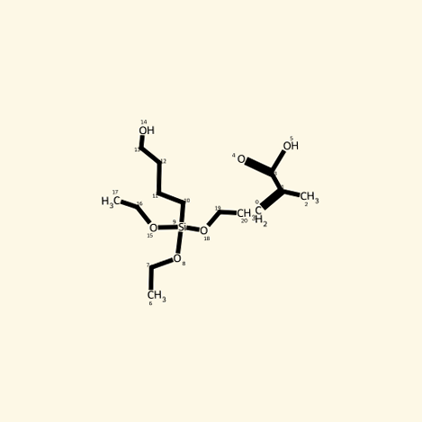 C=C(C)C(=O)O.CCO[Si](CCCCO)(OCC)OCC